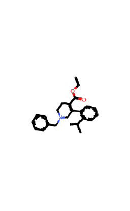 CCOC(=O)C1=C(c2ccccc2C(C)C)CN(Cc2ccccc2)CC1